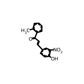 Cc1ccccc1C(=O)/C=C/c1ccc(O)c([N+](=O)[O-])c1